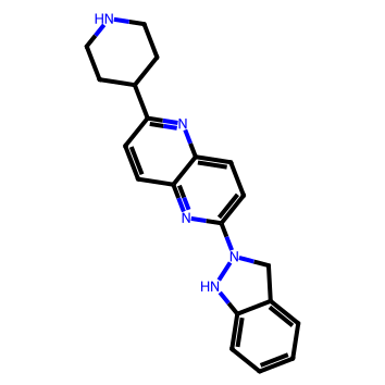 c1ccc2c(c1)CN(c1ccc3nc(C4CCNCC4)ccc3n1)N2